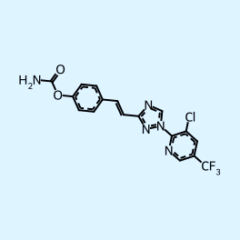 NC(=O)Oc1ccc(C=Cc2ncn(-c3ncc(C(F)(F)F)cc3Cl)n2)cc1